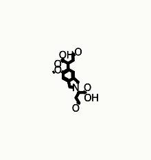 COc1cc2c(cc1C(CC=O)C(=O)O)CN(C(CC=O)C(=O)O)C2